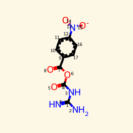 N=C(N)NC(=O)OC(=O)c1ccc([N+](=O)[O-])cc1